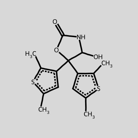 Cc1cc(C2(c3cc(C)sc3C)OC(=O)NC2O)c(C)s1